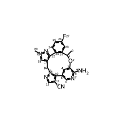 CC1Oc2cc(cnc2N)-c2c(C#N)cnn2Cc2cn(C)nc2-c2ccc(F)cc21